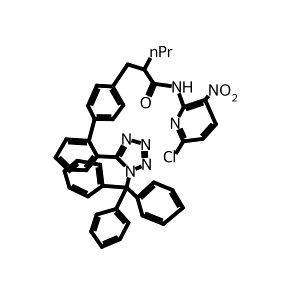 CCCC(Cc1ccc(-c2ccccc2-c2nnnn2C(c2ccccc2)(c2ccccc2)c2ccccc2)cc1)C(=O)Nc1nc(Cl)ccc1[N+](=O)[O-]